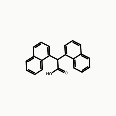 O=C(O)C(c1cccc2ccccc12)c1cccc2ccccc12